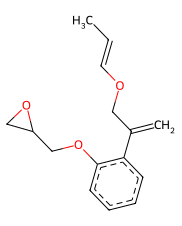 C=C(COC=CC)c1ccccc1OCC1CO1